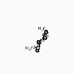 C=c1ccc2c(c1)Oc1cc(OCc3cccc(CN(CCSCC)Cc4ccccc4)n3)ccc1N=2